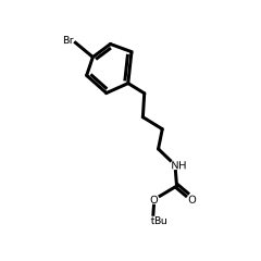 CC(C)(C)OC(=O)NCCCCc1ccc(Br)cc1